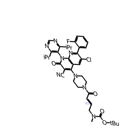 CC(C)c1ncnc(C(C)C)c1-n1c(=O)c(C#N)c(N2CCN(C(=O)/C=C/CN(C)C(=O)OC(C)(C)C)CC2)c2cc(Cl)c(-c3ccccc3F)nc21